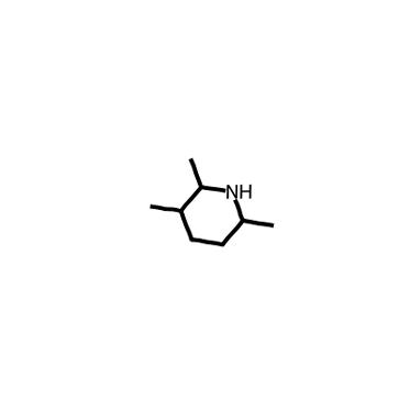 CC1CCC(C)C(C)N1